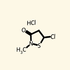 CN1SC(Cl)CC1=O.Cl